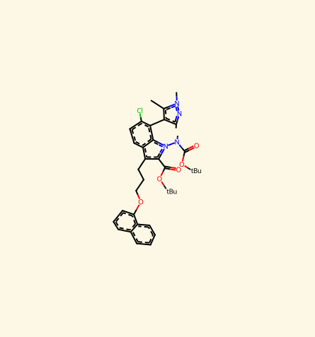 Cc1nn(C)c(C)c1-c1c(Cl)ccc2c(CCCOc3cccc4ccccc34)c(C(=O)OC(C)(C)C)n(N(C)C(=O)OC(C)(C)C)c12